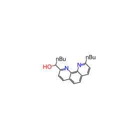 CCCCc1ccc2ccc3ccc(C(O)CCCC)nc3c2n1